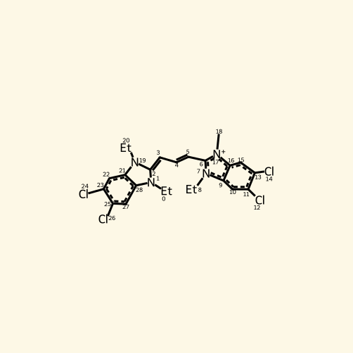 CCN1C(=CC=Cc2n(CC)c3cc(Cl)c(Cl)cc3[n+]2C)N(CC)c2cc(Cl)c(Cl)cc21